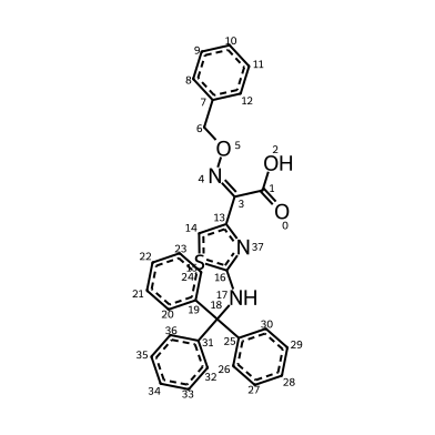 O=C(O)/C(=N\OCc1ccccc1)c1csc(NC(c2ccccc2)(c2ccccc2)c2ccccc2)n1